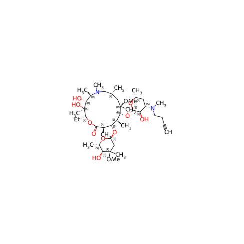 C#CCCN(C)[C@H]1C[C@@H](C)O[C@@H](O[C@@H]2[C@@H](C)[C@H](O[C@H]3C[C@@](C)(OC)[C@@H](O)[C@H](C)O3)[C@@H](C)C(=O)O[C@H](CC)[C@@](C)(O)[C@H](O)[C@@H](C)N(C)C[C@H](C)C[C@@]2(C)OC)[C@@H]1O